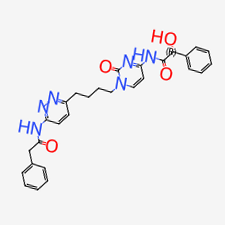 O=C(Cc1ccccc1)Nc1ccc(CCCCn2ccc(NC(=O)[C@H](O)c3ccccc3)nc2=O)nn1